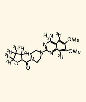 [2H]c1c(OC)c(OC)c([2H])c2c(N)nc(N3CCN(C(=O)C4OC([2H])([2H])C([2H])([2H])C4([2H])[2H])CC3)nc12